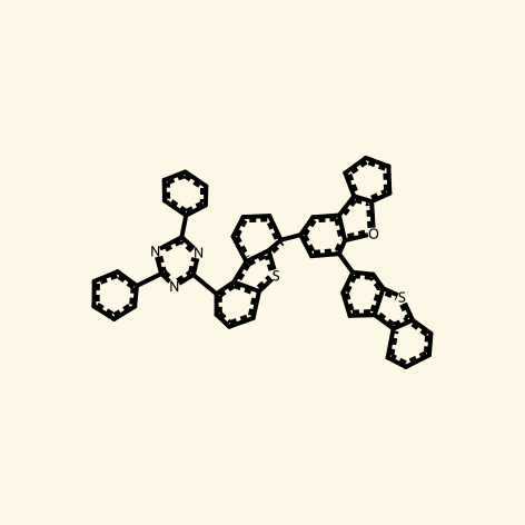 c1ccc(-c2nc(-c3ccccc3)nc(-c3cccc4sc5c(-c6cc(-c7ccc8c(c7)sc7ccccc78)c7oc8ccccc8c7c6)cccc5c34)n2)cc1